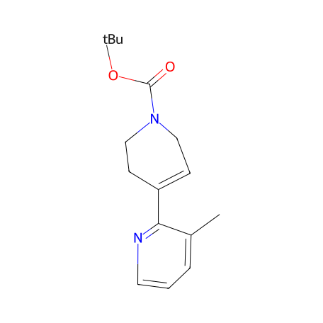 Cc1cccnc1C1=CCN(C(=O)OC(C)(C)C)CC1